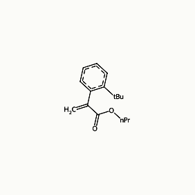 C=C(C(=O)OCCC)c1ccccc1C(C)(C)C